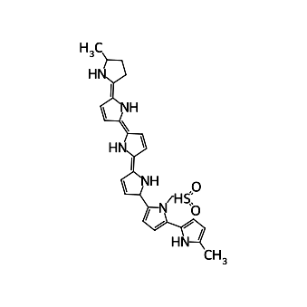 Cc1ccc(-c2ccc(C3C=C/C(=c4/cc/c(=c5/cc/c(=C6/CCC(C)N6)[nH]5)[nH]4)N3)n2C[SH](=O)=O)[nH]1